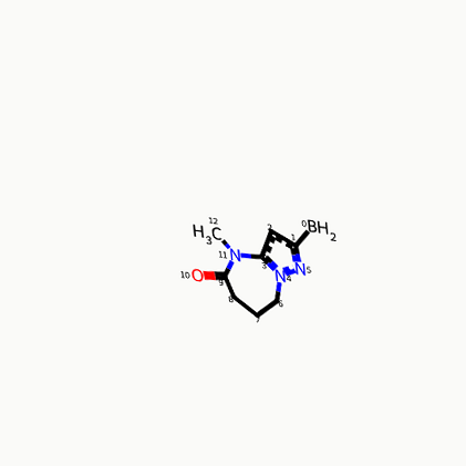 Bc1cc2n(n1)CCCC(=O)N2C